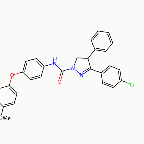 COc1ccc(Oc2ccc(NC(=O)N3CC(c4ccccc4)C(c4ccc(Cl)cc4)=N3)cc2)cc1